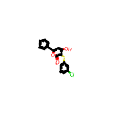 O=c1oc(-c2ccccc2)cc(O)c1Sc1cccc(Cl)c1